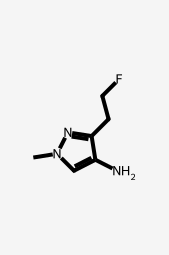 Cn1cc(N)c(CCF)n1